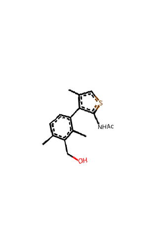 CC(=O)Nc1scc(C)c1-c1ccc(C)c(CO)c1C